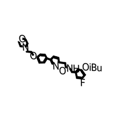 CC(C)COc1cc(F)cc(CNC(=O)Cc2ccc(-c3ccc(OCCN4CCOCC4)cc3)cn2)c1